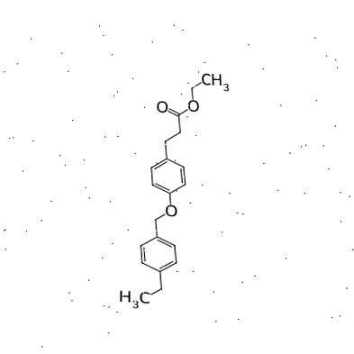 CCOC(=O)CCc1ccc(OCc2ccc(CC)cc2)cc1